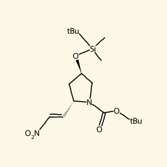 CC(C)(C)OC(=O)N1C[C@H](O[Si](C)(C)C(C)(C)C)C[C@H]1/C=C/[N+](=O)[O-]